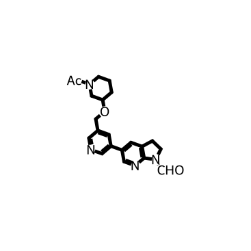 CC(=O)N1CCCC(OCc2cncc(-c3cnc4c(c3)CCN4C=O)c2)C1